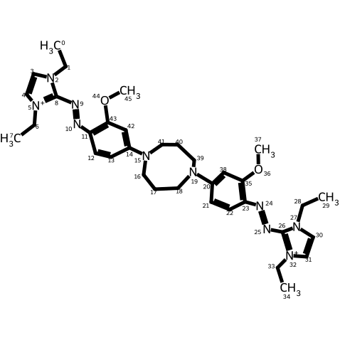 CCn1cc[n+](CC)c1N=Nc1ccc(N2CCCN(c3ccc(N=Nc4n(CC)cc[n+]4CC)c(OC)c3)CCC2)cc1OC